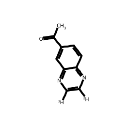 [2H]c1nc2ccc(C(C)=O)cc2nc1[2H]